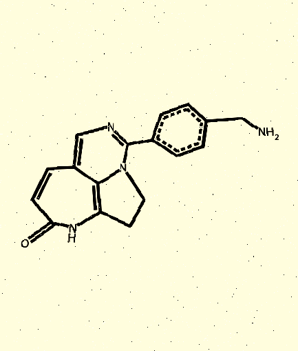 NCc1ccc(C2=NC=C3C=CC(=O)NC4=C3N2CC4)cc1